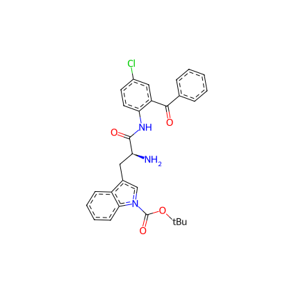 CC(C)(C)OC(=O)n1cc(C[C@H](N)C(=O)Nc2ccc(Cl)cc2C(=O)c2ccccc2)c2ccccc21